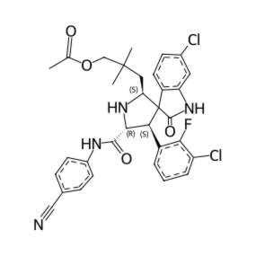 CC(=O)OCC(C)(C)C[C@@H]1N[C@@H](C(=O)Nc2ccc(C#N)cc2)[C@H](c2cccc(Cl)c2F)C12C(=O)Nc1cc(Cl)ccc12